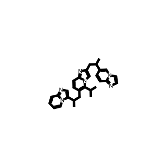 CC(C)c1c(CC(C)c2cnc3ccccn23)ccc2nc(CC(C)c3ccc4nccn4c3)cn12